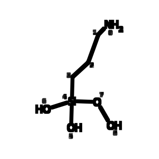 NCCC[Si](O)(O)OO